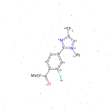 COC(=O)c1ccc(-c2nc(C(F)(F)F)cn2C(C)C)cc1F